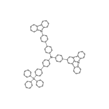 c1ccc([Si](c2ccccc2)(c2ccccc2)c2ccc(-c3ccc(N(c4ccc(-c5ccc(-n6c7ccccc7c7ccccc76)cc5)cc4)c4ccc(-c5cc6c7ccccc7n7c8ccccc8c(c5)c67)cc4)cc3)cc2)cc1